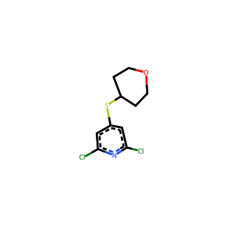 Clc1cc(SC2CCOCC2)cc(Cl)n1